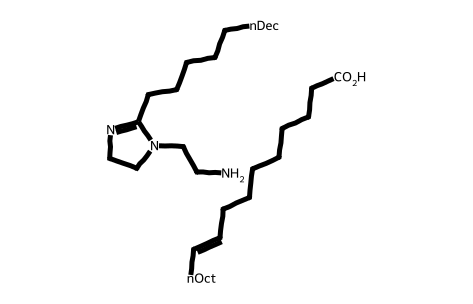 CCCCCCCCC=CCCCCCCCC(=O)O.CCCCCCCCCCCCCCCC1=NCCN1CCN